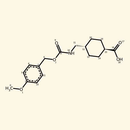 COc1ccc(COC(=O)NC[C@H]2CC[C@H](C(=O)O)CC2)cc1